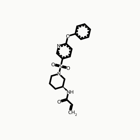 C=CC(=O)N[C@H]1CCCN(S(=O)(=O)c2ccc(Oc3ccccc3)nc2)C1